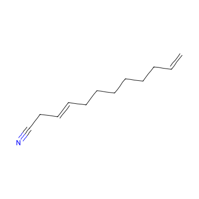 C=CCCCCCCC=CCC#N